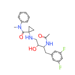 CC(=O)NC(Cc1cc(F)cc(F)c1)C(O)CNC1(C(=O)N(C)c2ccccc2)CC1